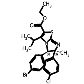 CCOC(=O)C1=C(C(C)C)N2C(=N[C@@](C)(c3ccc(Cl)cc3)[C@H]2c2ccc(Br)cc2)S1